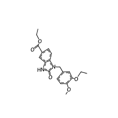 CCOC(=O)c1ccc2c(c1)[nH]c(=O)n2Cc1ccc(OC)c(OCC)c1